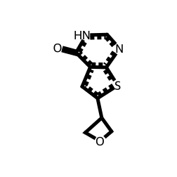 O=c1[nH]cnc2sc(C3COC3)cc12